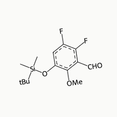 COc1c(O[Si](C)(C)C(C)(C)C)cc(F)c(F)c1C=O